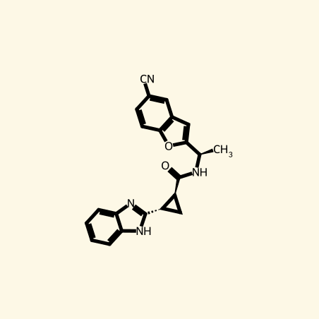 C[C@@H](NC(=O)[C@H]1C[C@@H]1c1nc2ccccc2[nH]1)c1cc2cc(C#N)ccc2o1